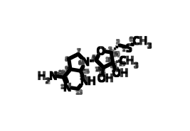 CSC[C@H]1O[C@@H](N2CCC3C(N)=NCNC32)[C@H](O)[C@]1(C)O